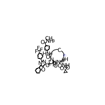 CNC(=O)c1ccc(N[C@H]2CCCCC/C=C\[C@@H]3C[C@@]3(C(=O)NS(=O)(=O)C3CC3)NC(=O)[C@@H]3C[C@@H](Oc4nc(-c5ccc(C(F)(F)F)cc5)nc5c4oc4ccccc45)CN3C2=O)cc1